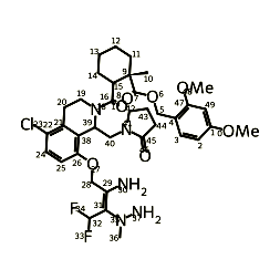 COc1ccc(COC(=O)[C@@]2(C)CCCCC2C(=O)N2CCc3c(Cl)ccc(OC/C(N)=C(\C(F)F)N(C)N)c3C2CN2CCCC2=O)c(OC)c1